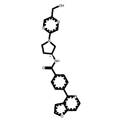 O=C(N[C@H]1CCN(c2cnc(CO)cn2)C1)c1ccc(-c2nccc3occc23)cc1